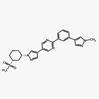 Cn1cc(-c2cccc(-c3ncc(-c4cnn([C@H]5CCC[C@@H](S(C)(=O)=O)C5)c4)cn3)c2)cn1